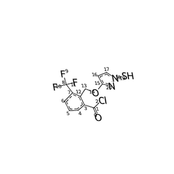 O=C(Cl)c1cccc(C(F)(F)F)c1COc1ccn(S)n1